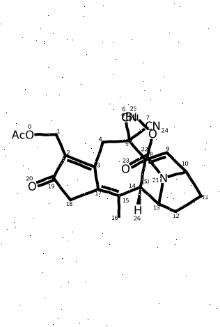 CC(=O)OCC1=C2CC(C#N)(C#N)C3=CC4CCC([C@@H]3C(C)=C2CC1=O)N4C(=O)OC(C)(C)C